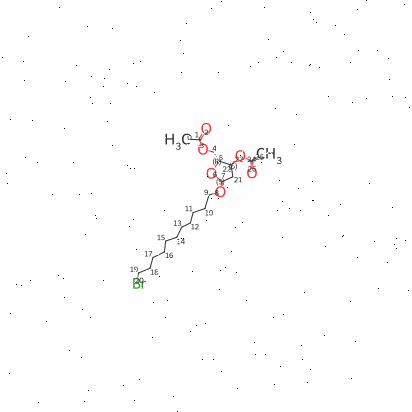 CC(=O)OC[C@H]1O[C@H](OCCCCCCCCCCCBr)C[C@@H]1OC(C)=O